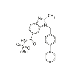 CCCCS(=O)(=O)NC(=O)c1ccc2nc(C)n(Cc3ccc(-c4ccccc4)cc3)c2c1